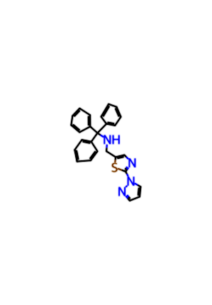 c1ccc(C(NCc2cnc(-n3cccn3)s2)(c2ccccc2)c2ccccc2)cc1